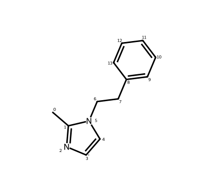 Cc1n[c]cn1CCc1ccccc1